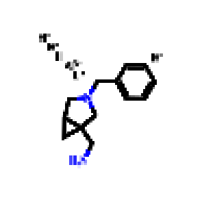 NCC12CC1CN(Cc1ccccc1)C2.[Al+3].[H-].[H-].[H-].[H-].[Li+]